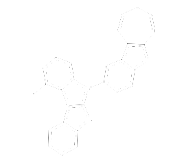 Clc1cccc2c1n1c3ccccc3nc1n2-c1ccc2oc3c(c2c1)C=CCC=C3